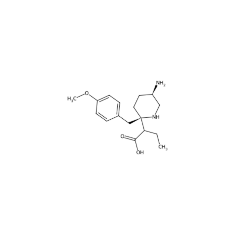 CCC(C(=O)O)[C@]1(Cc2ccc(OC)cc2)CC[C@@H](N)CN1